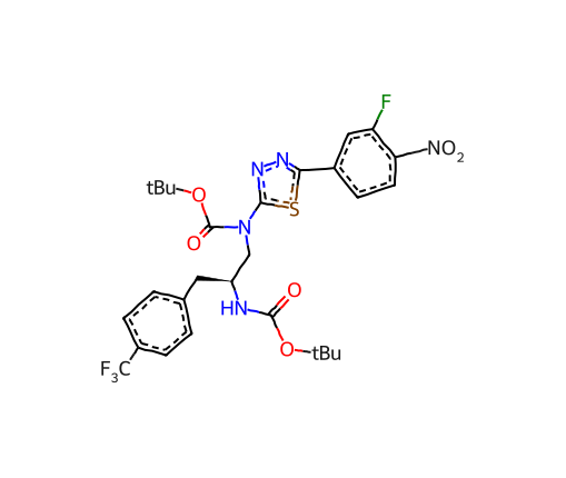 CC(C)(C)OC(=O)N[C@@H](Cc1ccc(C(F)(F)F)cc1)CN(C(=O)OC(C)(C)C)c1nnc(-c2ccc([N+](=O)[O-])c(F)c2)s1